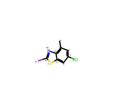 Cc1cc(Cl)cc2sc(I)nc12